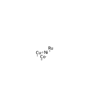 [Co].[Cu].[Ni].[Ru]